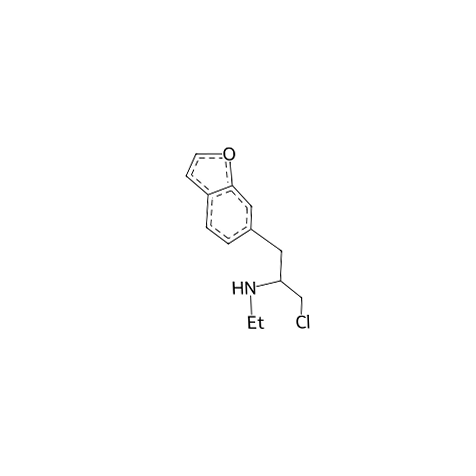 CCNC(CCl)Cc1ccc2ccoc2c1